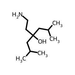 CC(C)CC(O)(CCN)CC(C)C